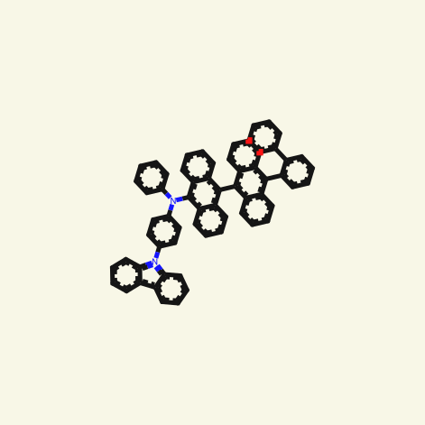 c1ccc(-c2ccccc2-c2c3ccccc3c(-c3c4ccccc4c(N(c4ccccc4)c4ccc(-n5c6ccccc6c6ccccc65)cc4)c4ccccc34)c3ccccc23)cc1